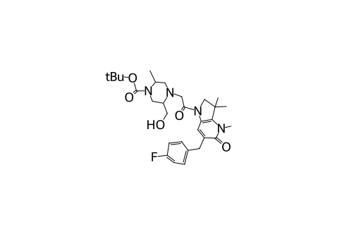 CC1CN(CC(=O)N2CC(C)(C)c3c2cc(Cc2ccc(F)cc2)c(=O)n3C)C(CO)CN1C(=O)OC(C)(C)C